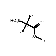 O=C(OI)C(F)(F)S(=O)(=O)O